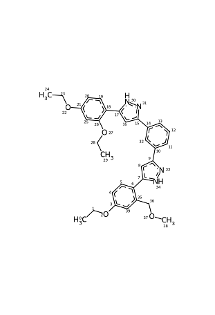 CCOc1ccc(-c2cc(-c3cccc(-c4cc(-c5ccc(OCC)cc5OCC)[nH]n4)c3)n[nH]2)c(COC)c1